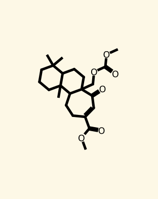 COC(=O)OCC12CCC3C(C)(C)CCCC3(C)C1CCC(C(=O)OC)=CC2=O